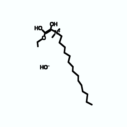 CCCCCCCCCCCCCCC[N+](C)(C)C(O)=C(O)OCC.[OH-]